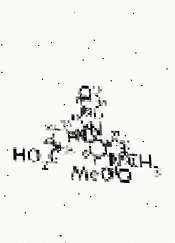 COC(=O)N1c2ccc3c(nc(C[C@@H]4CCCOC4)n3[C@@H]3CCC[C@@H](C(=O)O)C3)c2CC[C@@H]1C